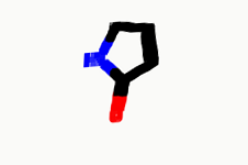 O=C1C=C[C]N1